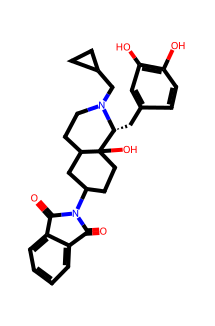 O=C1c2ccccc2C(=O)N1C1CCC2(O)C(CCN(CC3CC3)[C@@H]2Cc2ccc(O)c(O)c2)C1